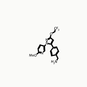 COc1ccc(-n2nc(OCC(F)(F)F)cc2-c2ccc(CN)cc2)cn1